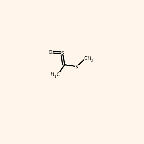 [CH2]SC(C)=S=O